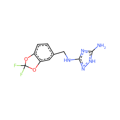 Nc1nc(NCc2ccc3c(c2)OC(F)(F)O3)n[nH]1